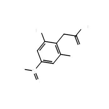 Cc1cc([N+](=O)[O-])cc(C)c1CC(O)=S